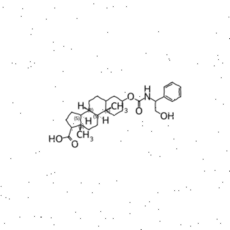 C[C@]12CCC(OC(=O)NC(CO)c3ccccc3)CC1CC[C@@H]1[C@@H]2CC[C@]2(C)C(C(=O)O)CC[C@@H]12